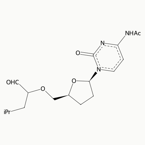 CC(=O)Nc1ccn([C@H]2CC[C@@H](COC(C=O)CC(C)C)O2)c(=O)n1